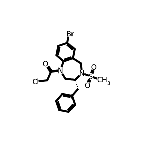 CS(=O)(=O)N1Cc2cc(Br)ccc2N(C(=O)CCl)C[C@H]1Cc1ccccc1